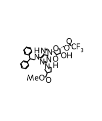 COC(=O)C1CCN(c2nc(NCC(c3ccccc3)c3ccccc3)c3ncn([C@@H]4O[C@H](COC(=O)C(F)(F)F)[C@@H](O)[C@H]4O)c3n2)C1